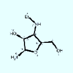 B[C@@H]1O[C@H](CO)C(NCC)[C@@H]1O